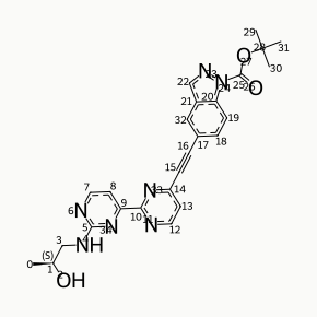 C[C@H](O)CNc1nccc(-c2nccc(C#Cc3ccc4c(cnn4C(=O)OC(C)(C)C)c3)n2)n1